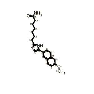 COc1ccc2cc(-c3cnc(CCCCCCC(N)=O)[nH]3)ccc2c1